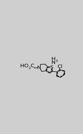 N.O=C(O)CN1CCc2sc(-c3ccccc3Cl)cc2C1